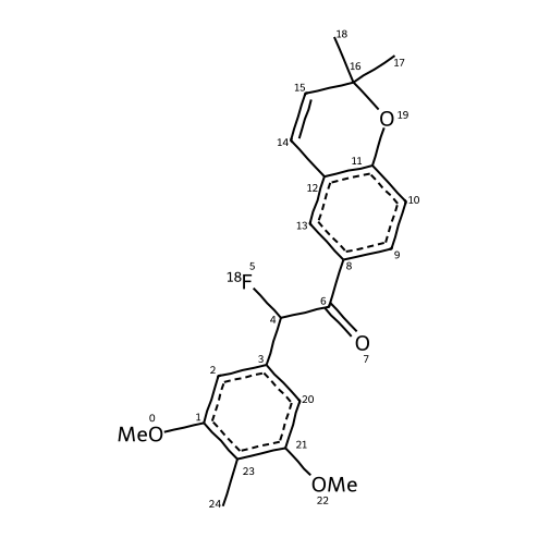 COc1cc(C([18F])C(=O)c2ccc3c(c2)C=CC(C)(C)O3)cc(OC)c1C